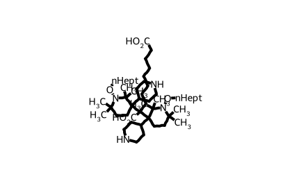 CCCCCCCON1C(C)(C)CCC(C2CCNCC2)(C(CCCCCCCC(=O)O)(C(=O)O)C2(C3CCNCC3)CCC(C)(C)N(OCCCCCCC)C2(C)C)C1(C)C